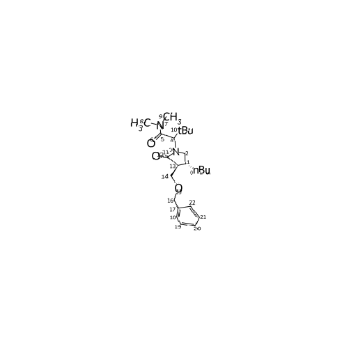 CCCC[C@H]1CN(C(C(=O)N(C)C)C(C)(C)C)C(=O)[C@@H]1COCc1ccccc1